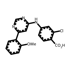 COc1ccccc1-c1cc(Nc2ccc(C(=O)O)c(Cl)c2)ncn1